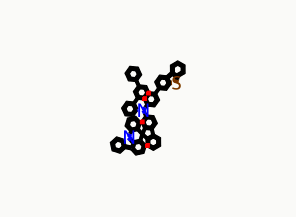 c1ccc(-c2cccc(-c3ccccc3N(c3ccc(-c4ccc5c(c4)sc4ccccc45)cc3)c3ccc4c(c3)C3(c5ccccc5-4)c4ccccc4-n4c5ccccc5c5cccc3c54)c2)cc1